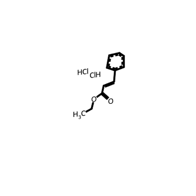 CCOC(=O)/C=C/c1ccccc1.Cl.Cl